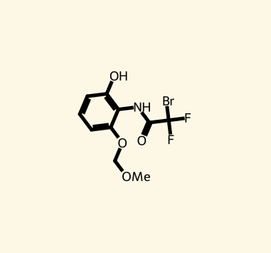 COCOc1cccc(O)c1NC(=O)C(F)(F)Br